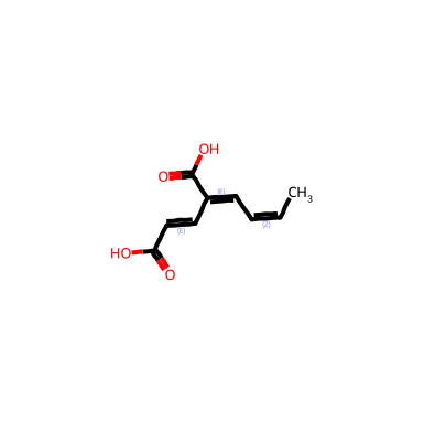 C\C=C/C=C(\C=C\C(=O)O)C(=O)O